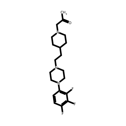 CC(=O)CN1CCC(CCN2CCN(c3ccc(F)c(F)c3F)CC2)CC1